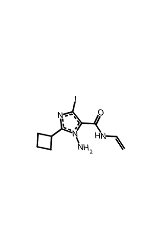 C=CNC(=O)c1c(I)nc(C2CCC2)n1N